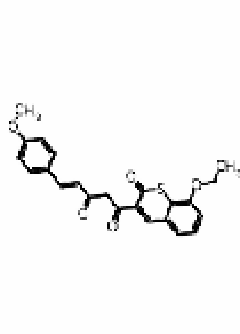 CCOc1cccc2cc(C(=O)CC(=O)C=Cc3ccc(OC)cc3)c(=O)sc12